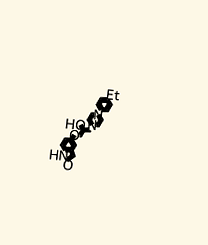 CCc1ccc(N2CCN(CC(O)COc3ccc4c(c3)CC(=O)N4)CC2)cc1